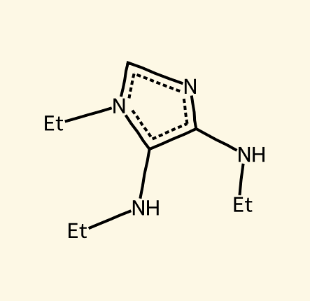 CCNc1ncn(CC)c1NCC